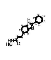 O=C(C=Cc1ccc2[nH]c(-c3ccccc3)nc2c1)NO